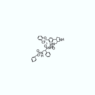 O=C(CNC(=O)C(CNC(=O)OCc1ccccc1)c1ccccc1)NCC1CNCCC1c1ccc(COc2ccccc2C(F)(F)F)cc1